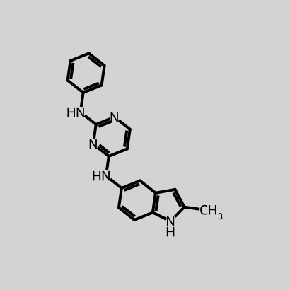 Cc1cc2cc(Nc3ccnc(Nc4ccccc4)n3)ccc2[nH]1